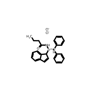 CCCC(=O)[NH][Zr+2]([CH]1C=Cc2ccccc21)[SiH](c1ccccc1)c1ccccc1.[Cl-].[Cl-]